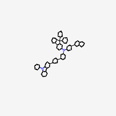 c1ccc(-n2c3ccccc3c3cc(-c4ccc(-c5cccc(N(c6ccc(-c7ccc8ccccc8c7)cc6)c6ccc7c(c6)C(c6ccccc6)(c6ccccc6)c6ccccc6-7)c5)cc4)ccc32)cc1